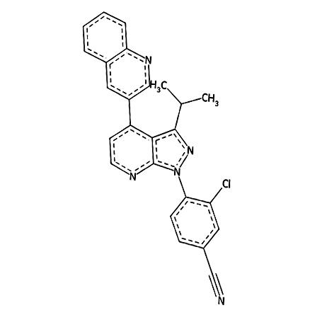 CC(C)c1nn(-c2ccc(C#N)cc2Cl)c2nccc(-c3cnc4ccccc4c3)c12